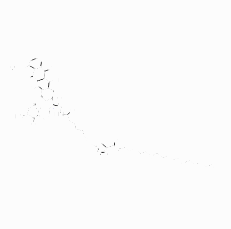 COc1cccc2c1C(=O)c1c(O)c3c(c(O)c1C2=O)C[C@@](O)(/C(CO)=N/NC(=O)CCCCCCCn1cc(C(=O)NCCOCCOCCOCCOCCOCCS)nn1)C[C@@H]3O[C@H]1C[C@H](N)[C@H](O)[C@H](C)O1